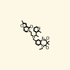 CCN1C(=O)C(C)(C)C(=O)N(C)c2cc(CN(CCn3ccc4oc(C)cc4c3=O)C(C)c3cccnc3C)ccc21